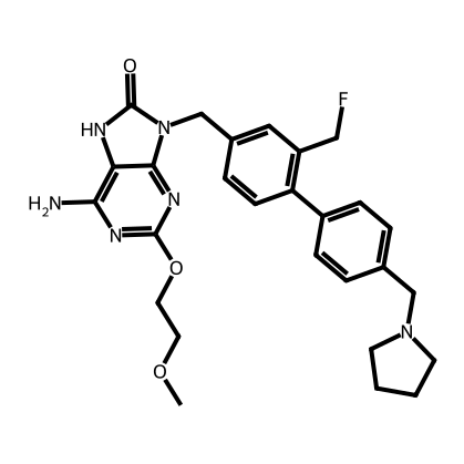 COCCOc1nc(N)c2[nH]c(=O)n(Cc3ccc(-c4ccc(CN5CCCC5)cc4)c(CF)c3)c2n1